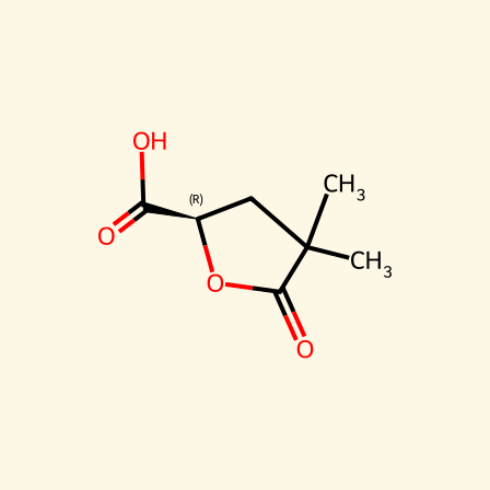 CC1(C)C[C@H](C(=O)O)OC1=O